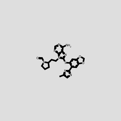 Cc1cnc(-c2cc3c(cc2Sc2nc4c(N)ncnc4n2CCC2CCCN2C=O)OCO3)s1